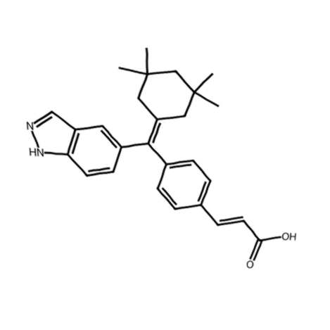 CC1(C)CC(=C(c2ccc(/C=C/C(=O)O)cc2)c2ccc3[nH]ncc3c2)CC(C)(C)C1